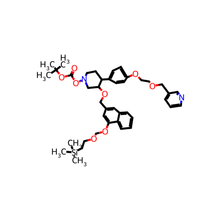 CC(C)(C)OC(=O)ON1CCC(c2ccc(OCCOCc3cccnc3)cc2)C(OCc2cc(OCOCC[Si](C)(C)C)c3ccccc3c2)C1